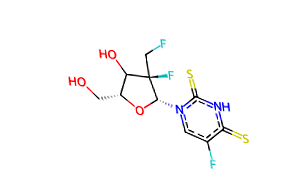 OC[C@H]1O[C@@H](n2cc(F)c(=S)[nH]c2=S)[C@@](F)(CF)C1O